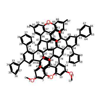 COc1ccc2c(c1)Oc1cc(OC)cc3c1B2c1cc2c(-c4c(-c5ccccc5)cc(-c5ccccc5)cc4-c4ccccc4)cc4c5c(cc6c(-c7c(-c8ccccc8)cc(-c8ccccc8)cc7-c7ccccc7)cc-3c1c6c25)B1c2ccc(C)cc2Oc2cc(C)cc-4c21